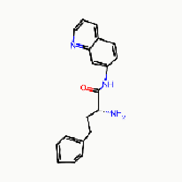 N[C@H](CCc1ccccc1)C(=O)Nc1ccc2cccnc2c1